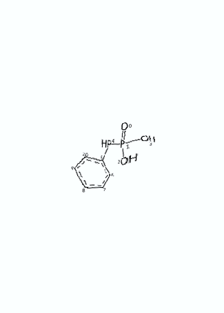 O=P(O)(O)Pc1ccccc1